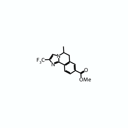 COC(=O)c1ccc2c(c1)CC(C)n1cc(C(F)(F)F)nc1-2